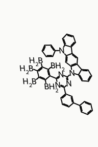 Bc1c(B)c(B)c(-c2nc(-c3cccc(-c4ccccc4)c3)nc(-n3c4ccccc4c4cc5c6ccccc6n(-c6ccccc6)c5cc43)n2)c(B)c1B